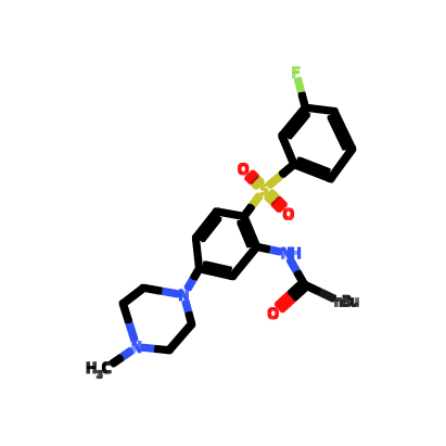 CCCCC(=O)Nc1cc(N2CCN(C)CC2)ccc1S(=O)(=O)c1cccc(F)c1